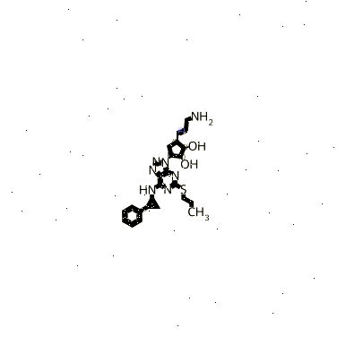 CCCSc1nc(NC2CC2c2ccccc2)c2nnn([C@H]3C[C@@H](/C=C/CN)[C@H](O)[C@@H]3O)c2n1